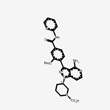 COc1cc(C(=O)Nc2ccccn2)ccc1-c1nn([C@@H]2CCCN(C(=O)O)C2)c2ccnc(N)c12